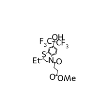 CCC1CN(C(=O)CCC(=O)OC)c2ccc(C(O)(C(F)(F)F)C(F)(F)F)cc2S1